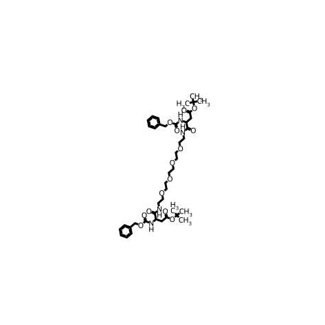 CC(C)(C)OC(=O)CC(NC(=O)OCc1ccccc1)C(=O)NCCOCCOCCOCCOCCNC(=O)C(CC(=O)OC(C)(C)C)NC(=O)OCc1ccccc1